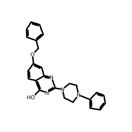 Oc1nc(N2CCN(c3ccccc3)CC2)nc2cc(OCc3ccccc3)ccc12